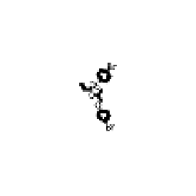 C=CC(=O)OC(COc1ccc(Br)cc1)CSc1ccc(Br)cc1